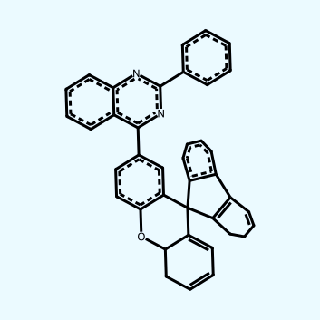 C1=CCC2Oc3ccc(-c4nc(-c5ccccc5)nc5ccccc45)cc3C3(C2=C1)C1=C(C=CCC1)c1ccccc13